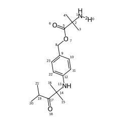 [2H]NC(C)(C)C(=O)OCc1ccc(NC(C)(C)C(=O)C(C)C)cc1